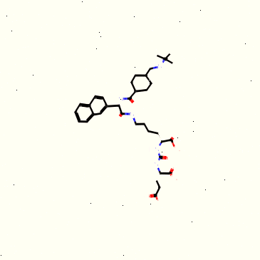 CC(C)(C)NCC1CCC(C(=O)N[C@H](C(=O)NCCCC[C@H](NC(=O)N[C@@H](CCC(=O)O)C(=O)O)C(=O)O)c2ccc3ccccc3c2)CC1